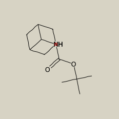 CC(C)(C)OC(=O)NC1C2CNCC1C2